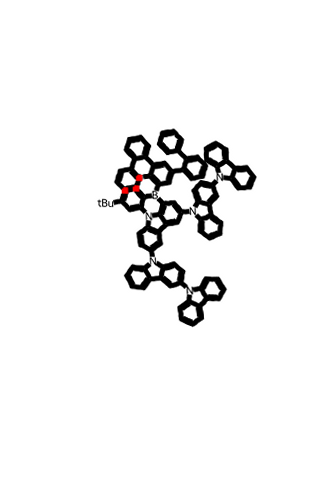 CC(C)(C)c1cc2c3c(c1)-n1c4ccc(-n5c6ccccc6c6cc(-n7c8ccccc8c8ccccc87)ccc65)cc4c4cc(-n5c6ccccc6c6cc(-n7c8ccccc8c8ccccc87)ccc65)cc(c41)B3c1cc(-c3ccccc3-c3ccccc3)cc(-c3ccccc3-c3ccccc3)c1O2